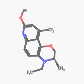 CC(C)Oc1cc(C(F)(F)F)c2c3c(ccc2n1)N(CC(F)(F)F)[C@H](C)CO3